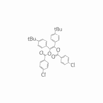 CC(C)(C)c1ccc(C(OC(=O)c2ccc(Cl)cc2)=C(OC(=O)c2ccc(Cl)cc2)c2ccc(C(C)(C)C)cc2)cc1